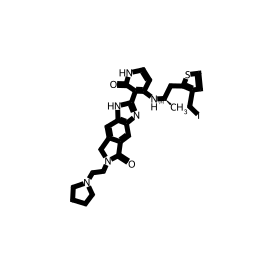 C[C@@H](Cc1sccc1CI)Nc1cc[nH]c(=O)c1-c1nc2cc3c(cc2[nH]1)CN(CCN1CCCC1)C3=O